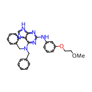 COCCOc1cccc(Nc2nc(N(Cc3ccccc3)Cc3ccccc3)c3nc[nH]c3n2)c1